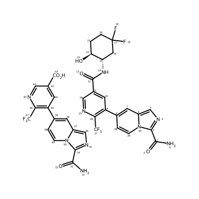 NC(=O)c1ncc2cc(-c3cc(C(=O)N[C@H]4CC(F)(F)CC[C@@H]4O)cnc3C(F)(F)F)ccn12.NC(=O)c1ncc2cc(-c3cc(C(=O)O)cnc3C(F)(F)F)ccn12